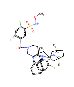 CONS(=O)(=O)c1cc(C(=O)N2CCC(CCN3[C@@H]4CC[C@H]3C[C@@H](n3c(C)nc5ccccc53)C4)(c3cccc(F)c3)CC2)c(F)cc1F